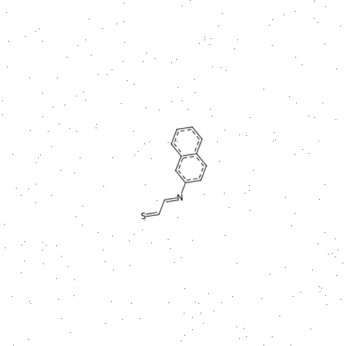 S=CC=Nc1ccc2ccccc2c1